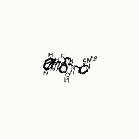 CSc1ncccc1CNc1ncc(F)c(NC[C@]23CC4C[C@H](C2)[C@@H](NC[C@H]2CC[C@H](O)CC2)[C@@H](C4)C3)n1